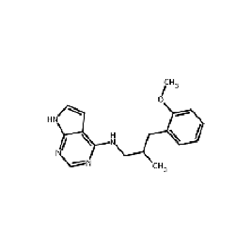 COc1ccccc1CC(C)CNc1ncnc2[nH]ccc12